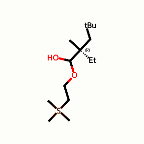 CC[C@](C)(CC(C)(C)C)C(O)OCCS(C)(C)C